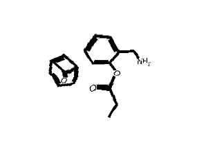 CCC(=O)Oc1ccccc1CN.O=C1c2cccc1c2